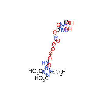 CC(C)C1CC(C(=N)N(C(N)=O)C2CCC(OC3CCN(C(=O)CCOCCOCCOCCOCCNC(=O)CN4CCN(CC(=O)O)CCN(CC(=O)O)CCN(CC(=O)O)CC4)CC3)CC2)C(O)CC1O